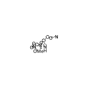 COCCCN1C(=O)COc2ccc(N(C(=O)[C@H]3CNCC[C@@H]3c3cccc(-c4cccc(OCCCN(C)C)c4)c3)C3CC3)cc21